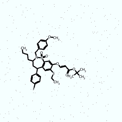 CCCCC1CC(c2ccc(F)cc2)c2cc(SCC)c(O/C=C/C(=O)OC(C)(C)C)cc2S(=O)(=O)N1Cc1ccc(OC)cc1